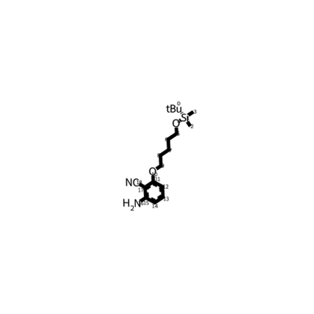 CC(C)(C)[Si](C)(C)OCCCCCOc1cccc(N)c1C#N